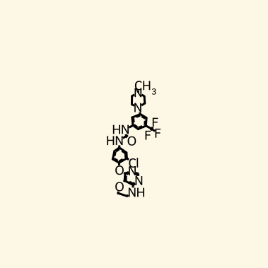 CN1CCN(c2cc(NC(=O)Nc3ccc(Oc4ncnc5c4OCCN5)c(Cl)c3)cc(C(F)(F)F)c2)CC1